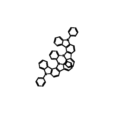 c1ccc(-n2c3ccccc3c3c2ccc2c4ccccc4n(-c4ccccc4-n4c5ccccc5c5ccc6c(c7ccccc7n6-c6ccccc6)c54)c23)cc1